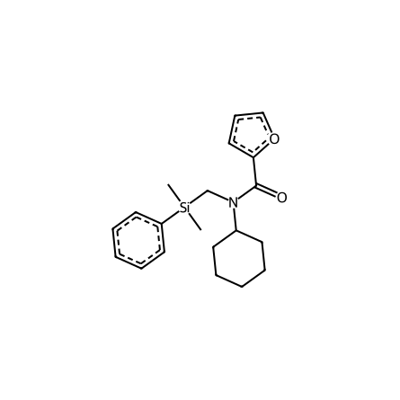 C[Si](C)(CN(C(=O)c1ccco1)C1CCCCC1)c1ccccc1